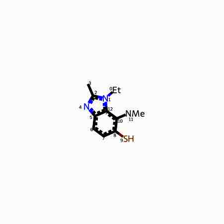 CCn1c(C)nc2ccc(S)c(NC)c21